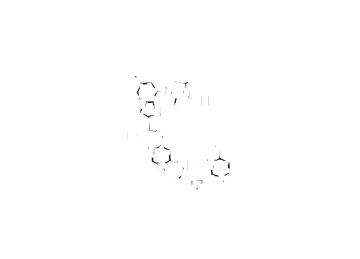 Cc1ccnc([C@H]2C[C@@H]2C(=O)Nc2cc(N[C@H](C)c3cn4cc(Cl)cc(N5CC(=O)N(C)C5=O)c4n3)ncn2)n1